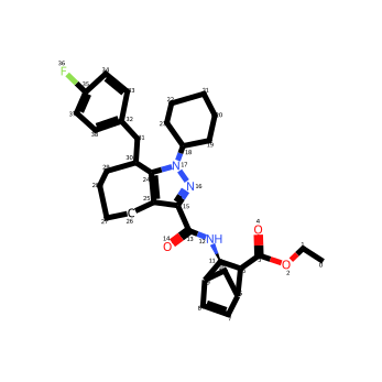 CCOC(=O)C1C2C=CC(C2)[C@H]1NC(=O)c1nn(C2CCCCC2)c2c1CCCCC2Cc1ccc(F)cc1